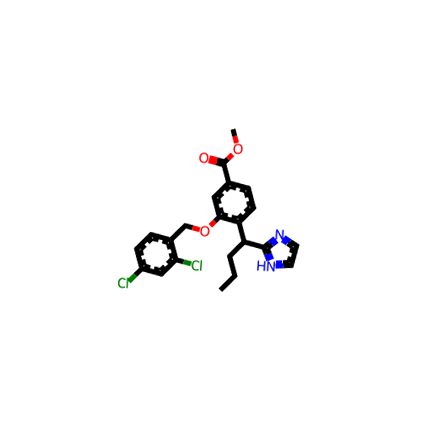 CCCC(c1ncc[nH]1)c1ccc(C(=O)OC)cc1OCc1ccc(Cl)cc1Cl